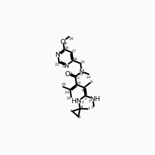 CN/C(NC1(C)CC1)=C(\C)C(C(=O)N(C)Cc1cc(OC)ncn1)=C(C)C